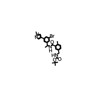 Cc1ccc(CNC(=O)OC(C)(C)C)cc1C(=O)NC(C)c1cc(Br)cc(-c2cnn(C)c2)c1